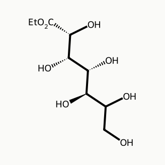 CCOC(=O)[C@H](O)[C@@H](O)[C@H](O)[C@H](O)C(O)CO